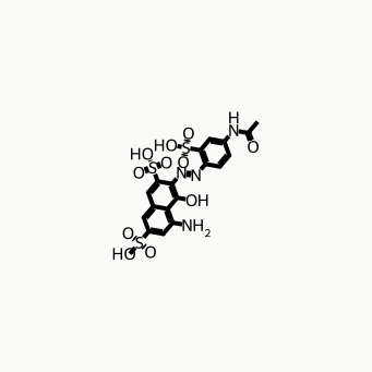 CC(=O)Nc1ccc(N=Nc2c(S(=O)(=O)O)cc3cc(S(=O)(=O)O)cc(N)c3c2O)c(S(=O)(=O)O)c1